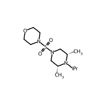 CC(C)N1[C@H](C)CN(S(=O)(=O)N2CCOCC2)C[C@@H]1C